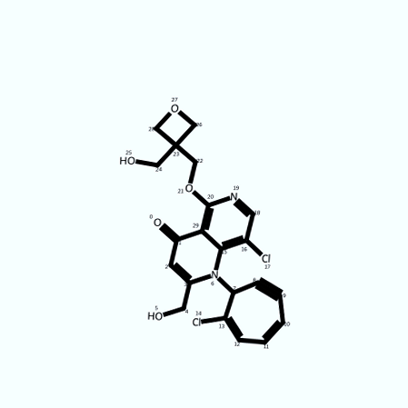 O=c1cc(CO)n(C2C#CC=CC=C2Cl)c2c(Cl)cnc(OCC3(CO)COC3)c12